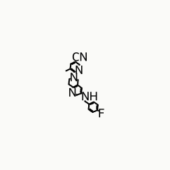 Cc1cc(C#N)cnc1N1CCc2ncc(NCc3ccc(F)cc3)cc2C1